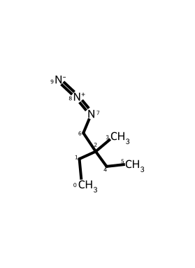 CCC(C)(CC)CN=[N+]=[N-]